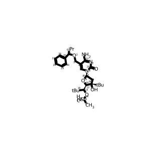 CC(C)C(OCc1cn([C@H]2C[C@@](O)(C(C)(C)C)[C@@H](C(O[SiH](C)C)C(C)(C)C)O2)c(=O)nc1N)c1ccccc1